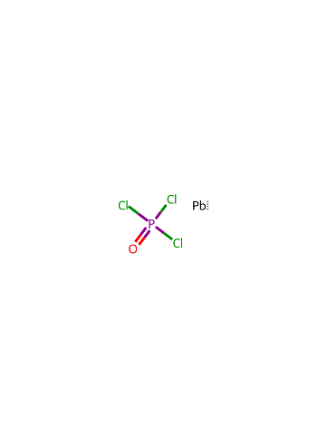 O=P(Cl)(Cl)Cl.[Pb]